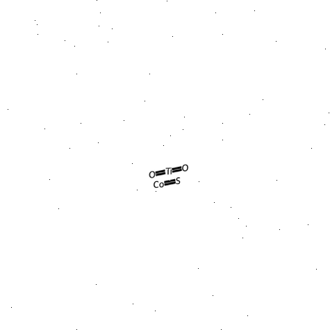 [O]=[Ti]=[O].[S]=[Co]